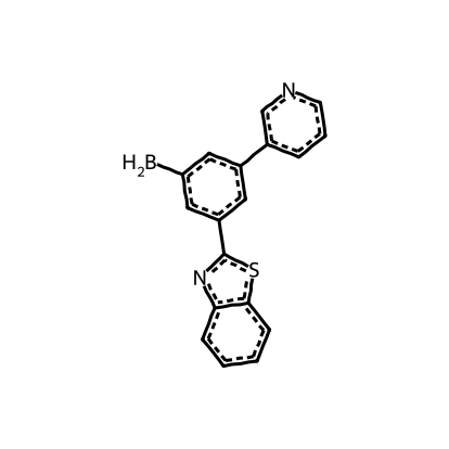 Bc1cc(-c2cccnc2)cc(-c2nc3ccccc3s2)c1